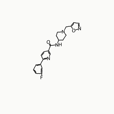 O=C(NC1CCN(Cc2ccno2)CC1)c1ccc(-c2cccc(F)c2)nc1